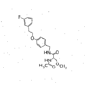 COC[C@@H](NC(C)=O)C(=O)NCc1ccc(OCCc2cccc(F)c2)cc1